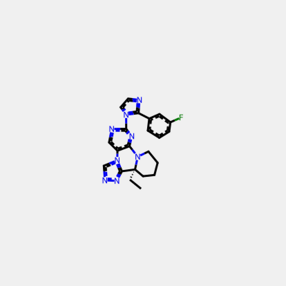 CC[C@@]12CCCCN1c1nc(-n3ccnc3-c3cccc(F)c3)ncc1-n1cnnc12